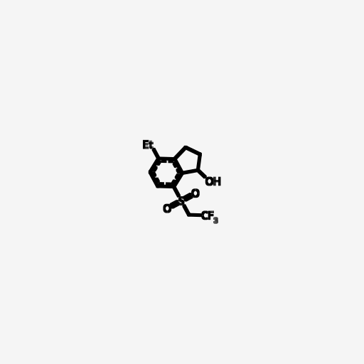 CCc1ccc(S(=O)(=O)CC(F)(F)F)c2c1CCC2O